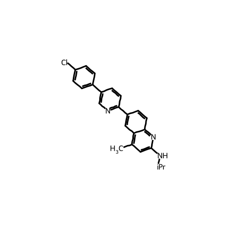 Cc1cc(NC(C)C)nc2ccc(-c3ccc(-c4ccc(Cl)cc4)cn3)cc12